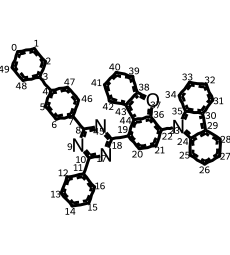 c1ccc(-c2ccc(-c3nc(-c4ccccc4)nc(-c4ccc(-n5c6ccccc6c6ccccc65)c5oc6ccccc6c45)n3)cc2)cc1